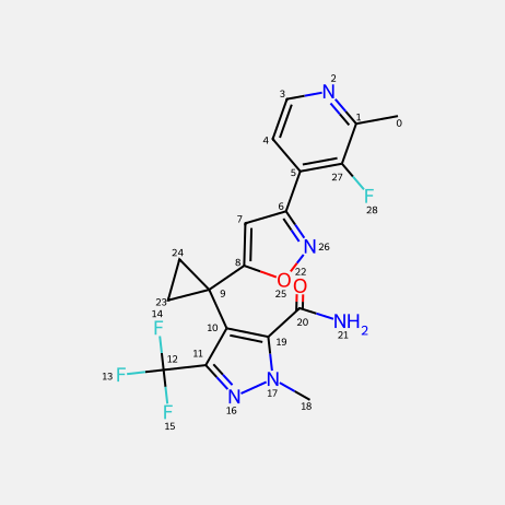 Cc1nccc(-c2cc(C3(c4c(C(F)(F)F)nn(C)c4C(N)=O)CC3)on2)c1F